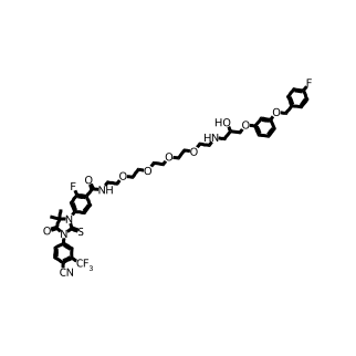 CC1(C)C(=O)N(c2ccc(C#N)c(C(F)(F)F)c2)C(=S)N1c1ccc(C(=O)NCCOCCOCCOCCOCCNCC(O)COc2cccc(OCc3ccc(F)cc3)c2)c(F)c1